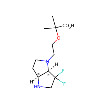 CC(C)(OCCN1CC[C@@H]2NCC(F)(F)[C@@H]21)C(=O)O